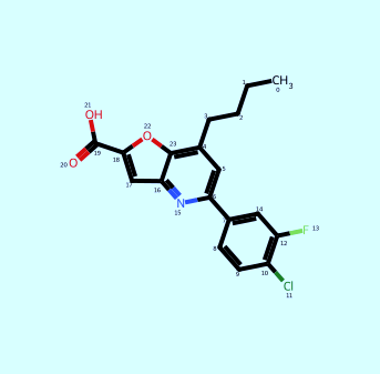 CCCCc1cc(-c2ccc(Cl)c(F)c2)nc2cc(C(=O)O)oc12